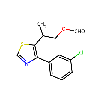 CC(COC=O)c1scnc1-c1cccc(Cl)c1